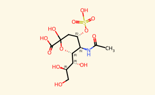 CC(=O)N[C@H]1[C@H]([C@H](O)[C@H](O)CO)OC(O)(C(=O)O)C[C@@H]1OS(=O)(=O)O